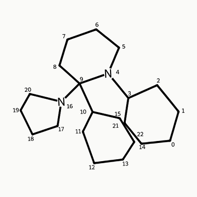 C1CCC(N2CCCCC2(C2CCCCC2)N2CCCC2)CC1